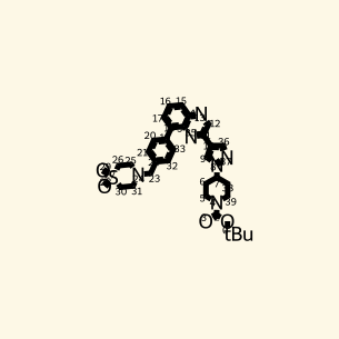 CC(C)(C)OC(=O)N1CCC(n2cc(-c3cnc4cccc(-c5ccc(CN6CCS(=O)(=O)CC6)cc5)c4n3)cn2)CC1